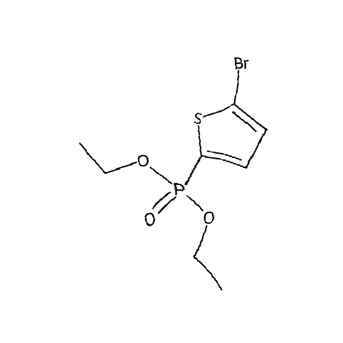 CCOP(=O)(OCC)c1ccc(Br)s1